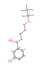 CC(C)(C)[Si](C)(C)OCCCCC(O)c1cccc(Cl)c1